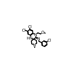 COCCN1/C(=N/Cc2cccc(Cl)c2)C2(CCN(C)CC2)Nc2cc(Cl)c(Cl)cc21